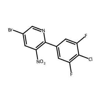 O=[N+]([O-])c1cc(Br)cnc1-c1cc(F)c(Cl)c(F)c1